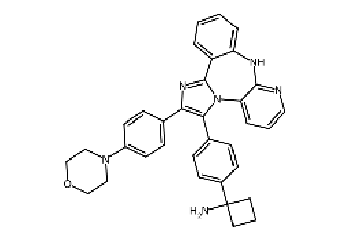 NC1(c2ccc(-c3c(-c4ccc(N5CCOCC5)cc4)nc4n3-c3cccnc3Nc3ccccc3-4)cc2)CCC1